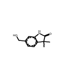 CC1(C)C(=O)Nc2cc(CO)ccc21